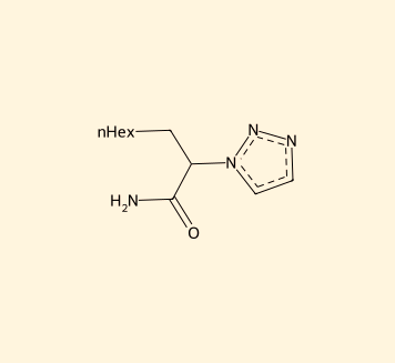 CCCCCCCC(C(N)=O)n1ccnn1